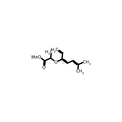 C=C/C(=C\C=C(C)C)OC(C)C(=O)OC